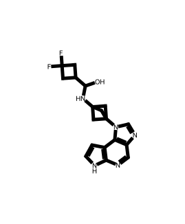 OC(NC12CC(n3cnc4cnc5[nH]ccc5c43)(C1)C2)C1CC(F)(F)C1